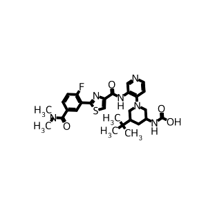 CN(C)C(=O)c1ccc(F)c(-c2nc(C(=O)Nc3cnccc3N3CC(NC(=O)O)CC(C(C)(C)C)C3)cs2)c1